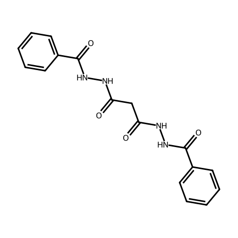 O=C(CC(=O)NNC(=O)c1ccccc1)NNC(=O)c1ccccc1